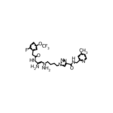 Cc1ccnc(CNC(=O)c2cn(CCCCN(N)/C=C(\N)NC(=O)Cc3cc(OC(F)(F)F)ccc3F)nn2)c1